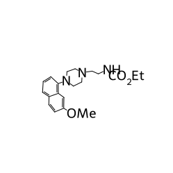 CCOC(=O)NCCN1CCN(c2cccc3ccc(OC)cc23)CC1